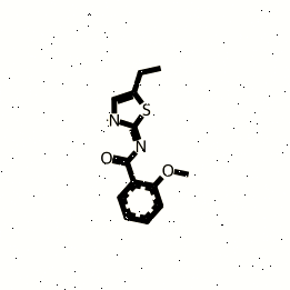 CCC1=C[N]C(=NC(=O)c2ccccc2OC)S1